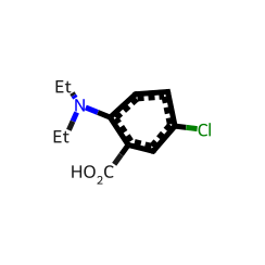 CCN(CC)c1ccc(Cl)cc1C(=O)O